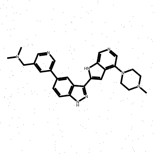 CN(C)Cc1cncc(-c2ccc3[nH]nc(-c4cc5c(N6CCN(C)CC6)cncc5[nH]4)c3c2)c1